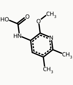 COc1nc(C)c(C)cc1NC(=O)O